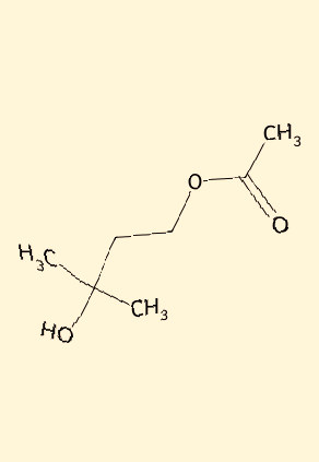 CC(=O)OCCC(C)(C)O